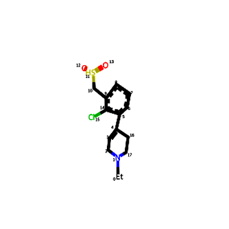 CCN1CC=C(c2cccc(C[SH](=O)=O)c2Cl)CC1